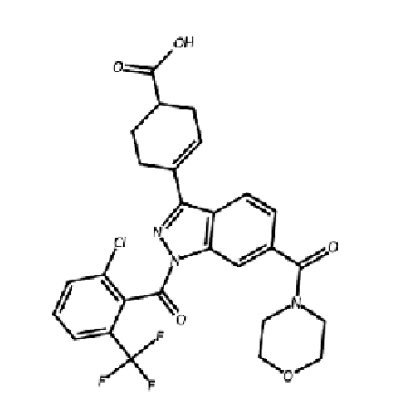 O=C(O)C1CC=C(c2nn(C(=O)c3c(Cl)cccc3C(F)(F)F)c3cc(C(=O)N4CCOCC4)ccc23)CC1